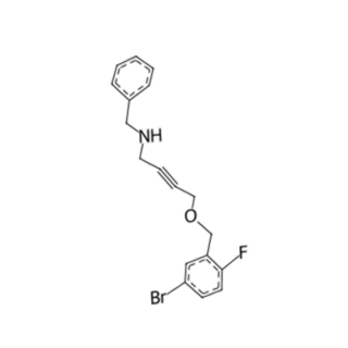 Fc1ccc(Br)cc1COCC#CCNCc1ccccc1